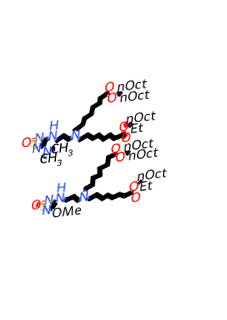 CCCCCCCCC(CC)OC(=O)CCCCCCCN(CCCCCCCC(=O)OC(CCCCCCCC)CCCCCCCC)CCCNc1n[s+]([O-])nc1N(C)C.CCCCCCCCC(CC)OC(=O)CCCCCCCN(CCCCCCCC(=O)OC(CCCCCCCC)CCCCCCCC)CCCNc1n[s+]([O-])nc1OC